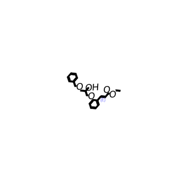 CCOC(=O)/C=C/c1ccccc1OCC(O)COCc1ccccc1